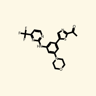 CC(=O)c1ncc(-c2cc(Nc3nccc(C(F)(F)F)n3)cc(N3CCOCC3)c2)s1